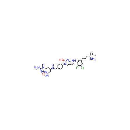 C[C@H](N)CCCc1cc(Cl)c(F)c(-c2cc3c([nH]2)=NC(O)N(c2ccc(CN[C@H](CCNC(=N)N)Cc4ncon4)cc2)C=3)c1